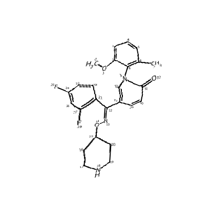 COc1cccc(C)c1-n1cc(C(=NOC2CCNCC2)c2ccc(F)cc2F)ccc1=O